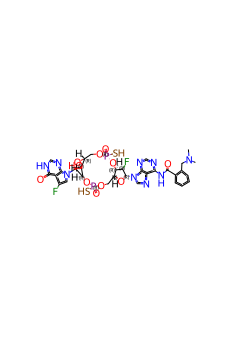 CN(C)Cc1ccccc1C(=O)Nc1ncnc2c1ncn2[C@@H]1O[C@@H]2CO[P@@](=O)(S)O[C@H]3C(n4cc(F)c5c(=O)[nH]cnc54)O[C@H](CO[P@@](=O)(S)O[C@H]2[C@H]1F)[C@H]3O